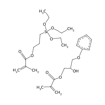 C=C(C)C(=O)OCC(O)COc1ccccc1.C=C(C)C(=O)OCCC[Si](OCC)(OCC)OCC